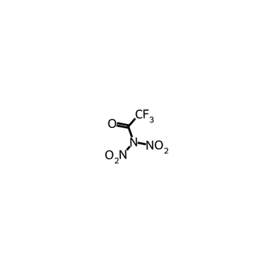 O=C(N([N+](=O)[O-])[N+](=O)[O-])C(F)(F)F